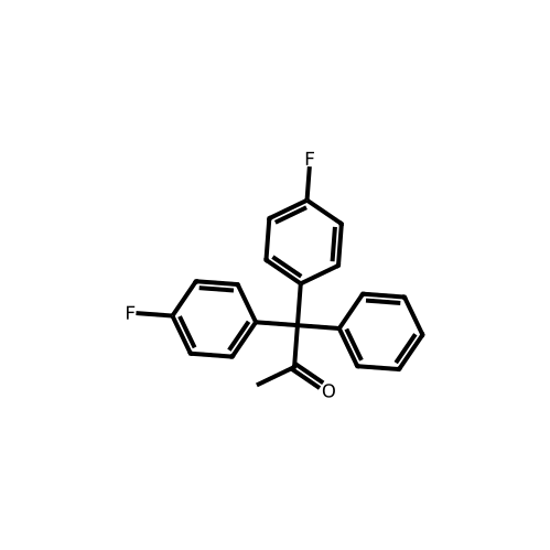 CC(=O)C(c1ccccc1)(c1ccc(F)cc1)c1ccc(F)cc1